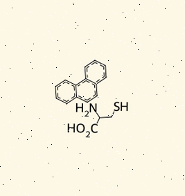 NC(CS)C(=O)O.c1ccc2c(c1)ccc1ccccc12